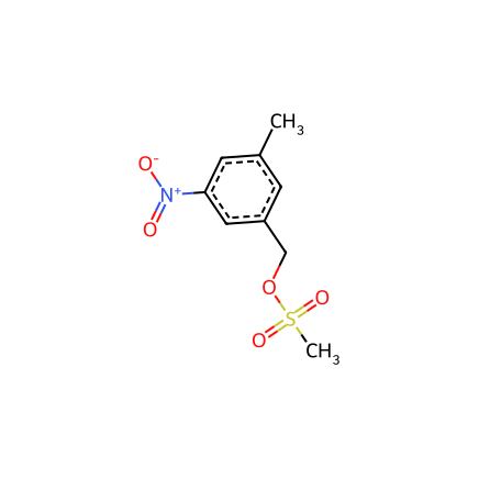 Cc1cc(COS(C)(=O)=O)cc([N+](=O)[O-])c1